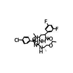 CCOC[C@H](C)N/C(=N/C(=O)c1ccc(Cl)cc1)NC(CC(N=O)c1cc(F)cc(F)c1)NC